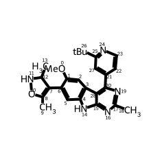 COc1cc2c(cc1C1=C(C)ONC1C)[nH]c1nc(C)nc(-c3ccnc(C(C)(C)C)c3)c12